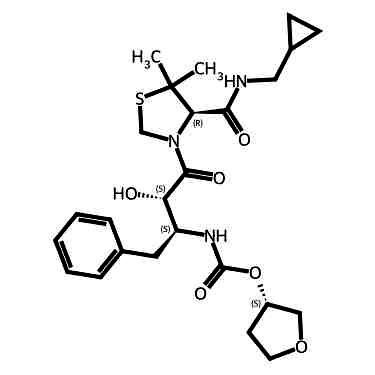 CC1(C)SCN(C(=O)[C@@H](O)[C@H](Cc2ccccc2)NC(=O)O[C@H]2CCOC2)[C@@H]1C(=O)NCC1CC1